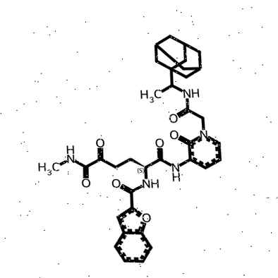 CNC(=O)C(=O)CC[C@H](NC(=O)c1cc2ccccc2o1)C(=O)Nc1cccn(CC(=O)NC(C)C23CC4CC(CC(C4)C2)C3)c1=O